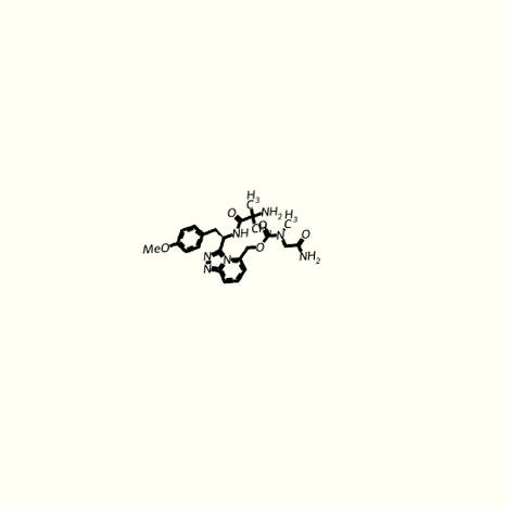 COc1ccc(C[C@@H](NC(=O)C(C)(C)N)c2nnc3cccc(COC(=O)N(C)CC(N)=O)n23)cc1